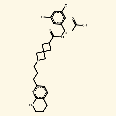 O=C(O)C[C@H](NC(=O)C1CC2(C1)CN(CCCc1ccc3c(n1)NCCC3)C2)c1cc(Cl)cc(Cl)c1